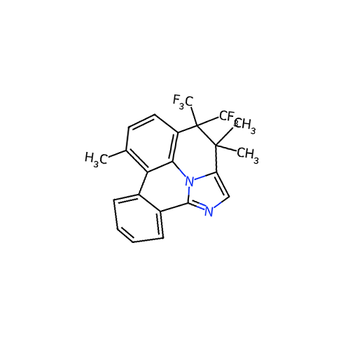 Cc1ccc2c3c1c1ccccc1c1ncc(n13)C(C)(C)C2(C(F)(F)F)C(F)(F)F